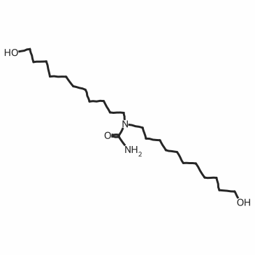 NC(=O)N(CCCCCCCCCCCO)CCCCCCCCCCCO